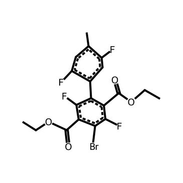 CCOC(=O)c1c(F)c(-c2cc(F)c(C)cc2F)c(C(=O)OCC)c(F)c1Br